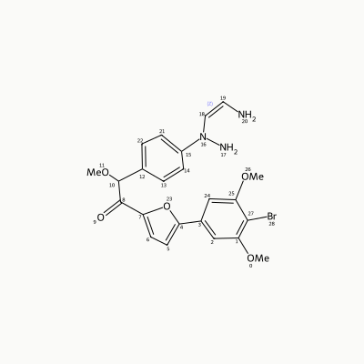 COc1cc(-c2ccc(C(=O)C(OC)c3ccc(N(N)/C=C\N)cc3)o2)cc(OC)c1Br